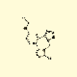 CC(=O)CNc1ccc2c(c1)-c1ncnn1Cc1c(Cl)ncn1-2